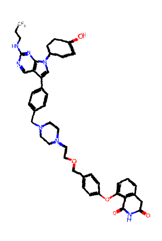 O=C1Cc2cccc(Oc3ccc(COCCN4CCN(Cc5ccc(-c6cn(C7CCC(O)CC7)c7nc(NCCC(F)(F)F)ncc67)cc5)CC4)cc3)c2C(=O)N1